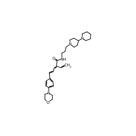 C=C/C(=C\C=C\c1ccc(N2CCOCC2)cc1)C(=O)NCCCN1CCC(N2CCCCC2)CC1